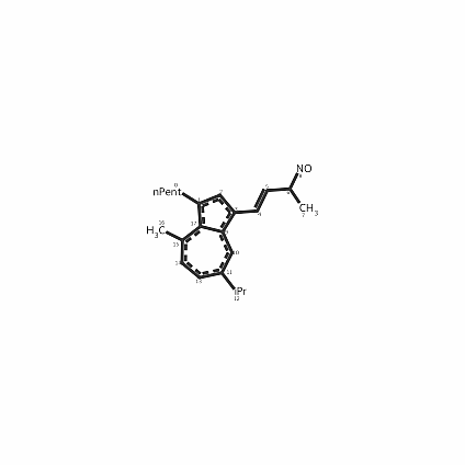 CCCCCc1cc(C=CC(C)N=O)c2cc(C(C)C)ccc(C)c1-2